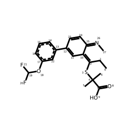 CC/C(SC(C)(C)C(=O)O)=C1/C=C(c2cccc(OC(F)F)c2)C=C/C1=N/C